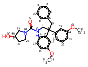 O=C(NCC(Cc1ccccc1)(c1cccc(OC(F)(F)F)c1)c1cccc(OC(F)(F)F)c1)N1CC[C@@H](O)C1